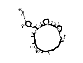 COC1C(=O)C(C)C[C@H](C)/C=C/C=C/C=C(\C)[C@@H](OC)C[C@@H]2CC[C@@H](C)[C@@](O)(O2)C(=O)C(=O)N2CCCCC2C(=O)O[C@H]([C@H](C)C[C@@H]2CC[C@@H](COOOS)[C@H](OC)C2)CC(=O)[C@H](C)/C=C(\C)[C@H]1O